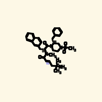 CN(C(=O)/C=C/CC(C)(C)N)[C@H](Cc1ccc2ccccc2c1)C(=O)N1CCN(S(C)(=O)=O)C[C@H]1Cc1ccccc1